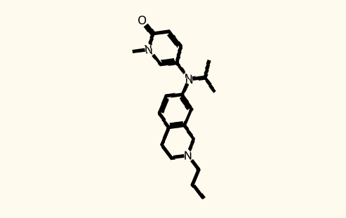 CCCN1CCc2ccc(N(c3ccc(=O)n(C)c3)C(C)C)cc2C1